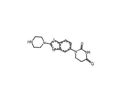 O=C1CCN(c2ccc3sc(N4CCNCC4)nc3c2)C(=O)N1